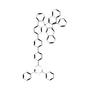 c1ccc(Nc2cc3ccccc3cc2C2(c3ccc4ccccc4c3)c3ccccc3-c3ccc(-c4ccc(-c5ccc(C6N=C(c7ccccc7)NC(c7ccccc7)N6)cc5)cc4)cc32)cc1